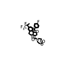 CC(F)(c1ccc2c(c1)CC[C@H]1[C@H](C(=O)N3CCS(=O)(=O)CC3)CC[C@@]21S(=O)(=O)c1ccc(F)cc1)C(F)(F)F